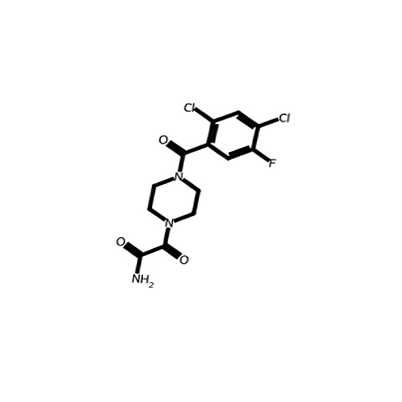 NC(=O)C(=O)N1CCN(C(=O)c2cc(F)c(Cl)cc2Cl)CC1